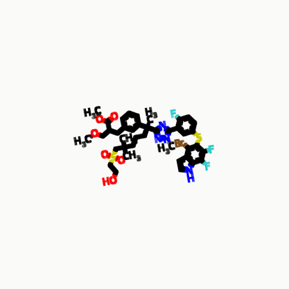 COCC(Cc1cccc([C@@](C)(CCCC(C)(C)CS(=O)(=O)CCO)c2nc(-c3cc(Sc4c(F)c(F)c5[nH]ccc5c4Br)ccc3F)n(C)n2)c1)C(=O)OC